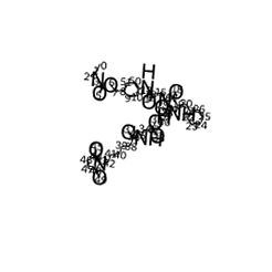 CC1CN1C(=O)OCc1ccc(NC(=O)CNC(=O)C(Cc2ccccc2)NC(=O)COC(=O)CNC(=O)CCCCCN2C(=O)C=CC2=O)cc1